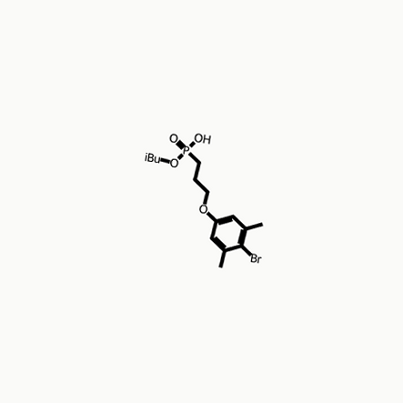 CCC(C)OP(=O)(O)CCCOc1cc(C)c(Br)c(C)c1